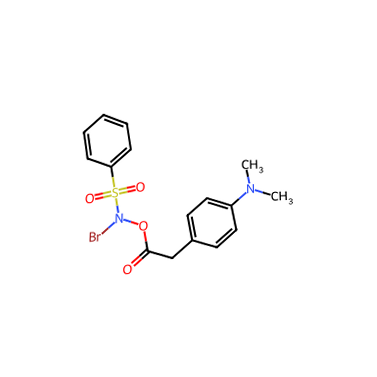 CN(C)c1ccc(CC(=O)ON(Br)S(=O)(=O)c2ccccc2)cc1